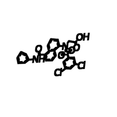 O=C(O)CN(c1cccc2c(C(=O)Nc3ccccc3)cccc12)S(=O)(=O)c1cc(Cl)cc(Cl)c1